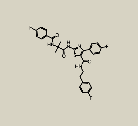 CC(C)(NC(=O)c1ccc(F)cc1)C(=O)Nc1nc(-c2ccc(F)cc2)c(C(=O)NCCc2ccc(F)cc2)s1